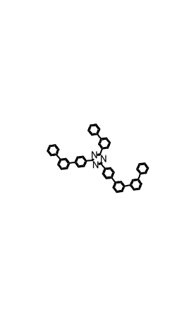 c1ccc(-c2cccc(-c3ccc(-c4nc(-c5ccc(-c6cccc(-c7cccc(-c8ccccc8)c7)c6)cc5)nc(-c5cccc(-c6ccccc6)c5)n4)cc3)c2)cc1